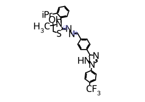 CC(C)c1ccccc1N1/C(=N/N=C/c2ccc(C3N=CN(c4ccc(C(F)(F)F)cc4)N3)cc2)SCC1(C)O